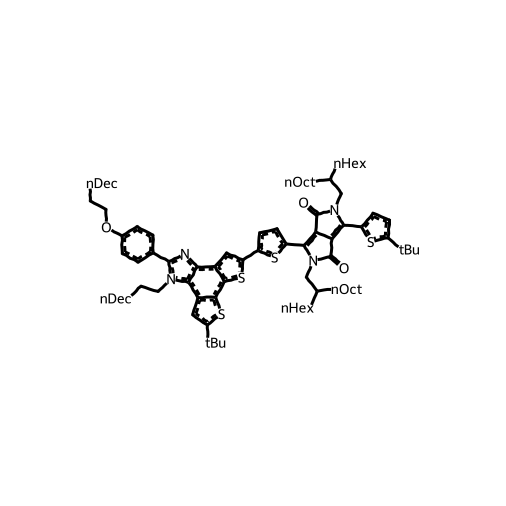 CCCCCCCCCCCCOc1ccc(-c2nc3c4cc(-c5ccc(C6=C7C(=O)N(CC(CCCCCC)CCCCCCCC)C(c8ccc(C(C)(C)C)s8)=C7C(=O)N6CC(CCCCCC)CCCCCCCC)s5)sc4c4sc(C(C)(C)C)cc4c3n2CCCCCCCCCCCC)cc1